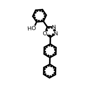 Oc1ccccc1-c1nnc(-c2ccc(-c3ccccc3)cc2)o1